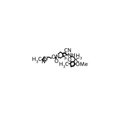 COc1ccc(C)cc1[C@@H](C)CC(=O)Nc1sc2c(c1C#N)CCN(C(=O)OCCn1cnc(C)c1)C2